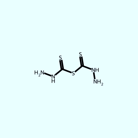 NNC(=S)SC(=S)NN